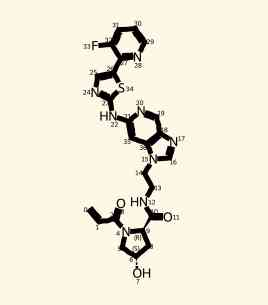 C=CC(=O)N1C[C@@H](O)C[C@@H]1C(=O)NCCn1cnc2cnc(Nc3ncc(-c4ncccc4F)s3)cc21